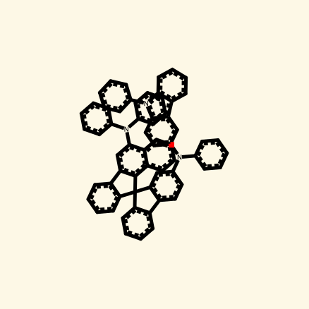 c1ccc(N(c2ccc3c(c2)C2(c4ccccc4-3)c3ccccc3-c3cc(N(c4ccccc4)c4ccccc4)c4ccccc4c32)c2ccc3c(c2)c2ccccc2n3-c2ccccc2)cc1